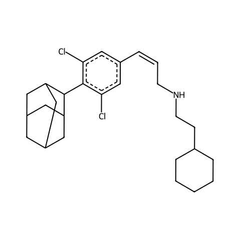 Clc1cc(/C=C\CNCCC2CCCCC2)cc(Cl)c1C1C2CC3CC(C2)CC1C3